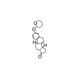 C[C@]12CC[C@H]3C(=CCc4cc(OC5CCCCO5)ccc43)[C@@H]1CCC2=O